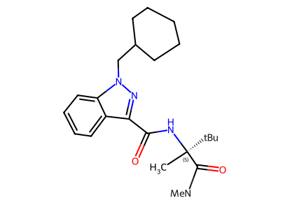 CNC(=O)[C@@](C)(NC(=O)c1nn(CC2CCCCC2)c2ccccc12)C(C)(C)C